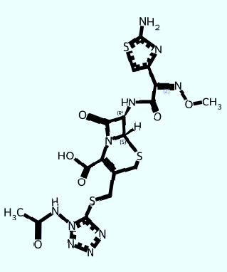 CO/N=C(\C(=O)N[C@@H]1C(=O)N2C(C(=O)O)=C(CSc3nnnn3NC(C)=O)CS[C@@H]12)c1csc(N)n1